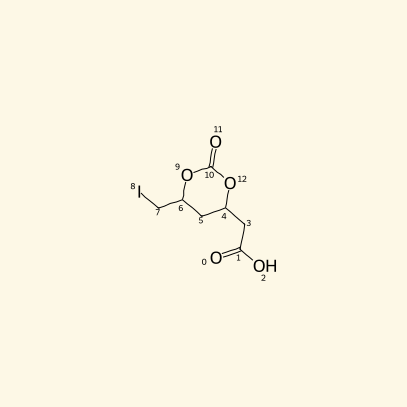 O=C(O)CC1CC(CI)OC(=O)O1